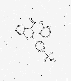 NS(=O)(=O)c1ccc(C2=C(c3ccccc3Cl)C(C=O)c3ccccc3O2)cc1